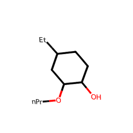 CCCOC1CC(CC)CCC1O